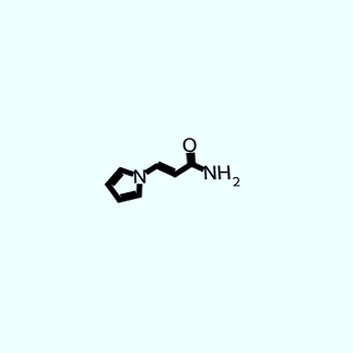 NC(=O)/C=C/n1cccc1